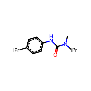 CC(C)c1ccc(NC(=O)N(C)C(C)C)cc1